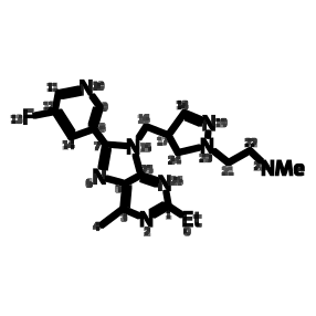 CCc1nc(C)c2nc(-c3cncc(F)c3)n(CC3C=NN(CCNC)C3)c2n1